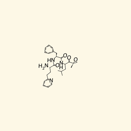 CC(C)CC(NC(=O)[C@H](Cc1ccccc1)NC(=O)[C@@H](N)CCc1ccccn1)C(=O)[C@@]1(C)CO1